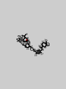 CC(C[Si](C)(C)C[Si](C)(C)COCC1CCC(COCC[Si](C)(C)O[Si](C)(C)CC(C)C2CCC3(C)OC3C2)CC1)C1CCC2(C)OC2C1